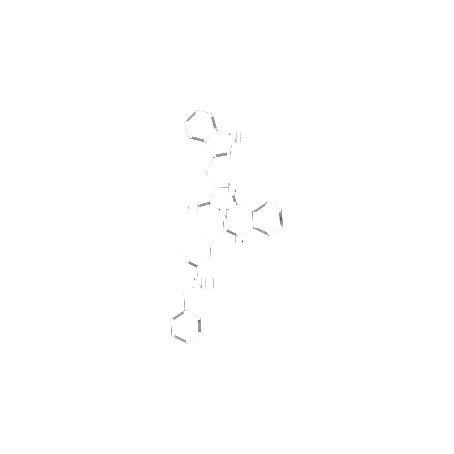 O=C(CSC1=Nc2ccccc2C2=NC(Cc3c[nH]c4ccccc34)C(=O)N12)NCc1ccccc1